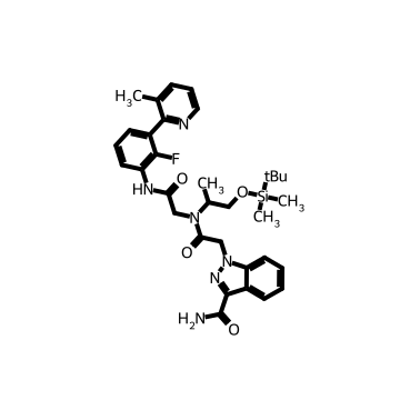 Cc1cccnc1-c1cccc(NC(=O)CN(C(=O)Cn2nc(C(N)=O)c3ccccc32)C(C)CO[Si](C)(C)C(C)(C)C)c1F